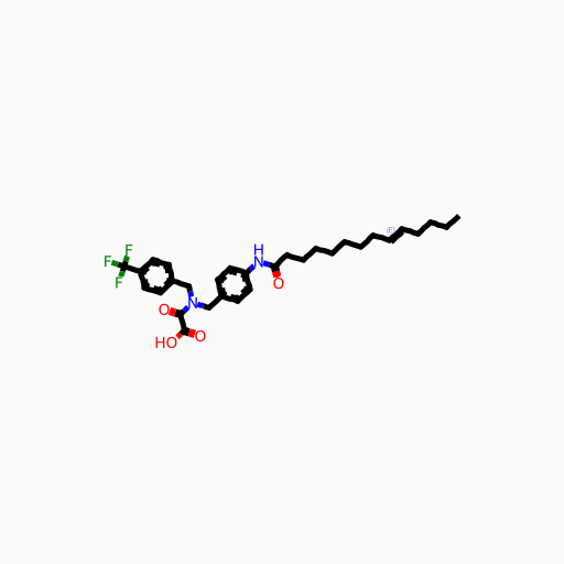 CCCC/C=C/CCCCCCCC(=O)Nc1ccc(CN(Cc2ccc(C(F)(F)F)cc2)C(=O)C(=O)O)cc1